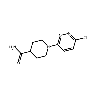 NC(=O)C1CCN(c2ccc(Cl)nn2)CC1